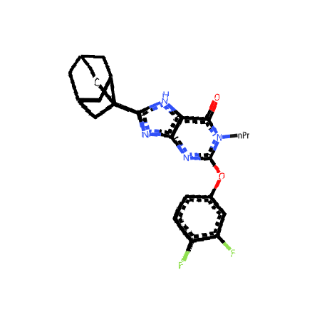 CCCn1c(Oc2ccc(F)c(F)c2)nc2nc(C34CC5CC(CC3C5)C4)[nH]c2c1=O